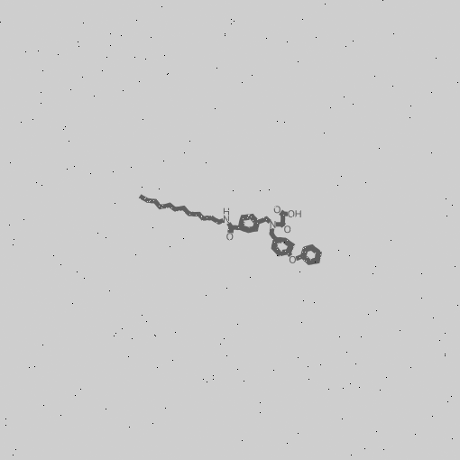 CCCCCCCCCCCCNC(=O)c1ccc(CN(Cc2ccc(Oc3ccccc3)cc2)C(=O)C(=O)O)cc1